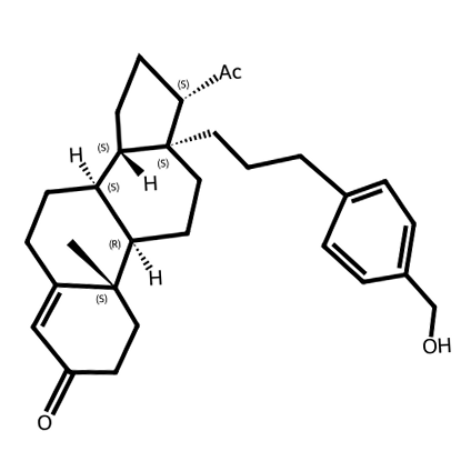 CC(=O)[C@H]1CC[C@H]2[C@@H]3CCC4=CC(=O)CC[C@@]4(C)[C@@H]3CC[C@]12CCCc1ccc(CO)cc1